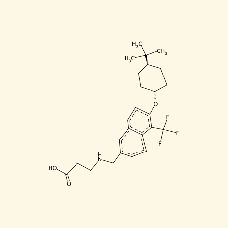 CC(C)(C)[C@H]1CC[C@H](Oc2ccc3cc(CNCCC(=O)O)ccc3c2C(F)(F)F)CC1